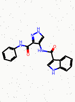 O=C(Nc1ccccc1)c1n[nH]cc1NC(=O)c1c[nH]c2ccccc12